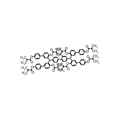 C=C(C)C(=O)Oc1ccc(-c2ccc(OC(=O)C(=C)C)c(C(c3ccc(-c4ccc(C(c5cc(-c6ccc(OC(=O)C(=C)C)cc6)ccc5OC(=O)C(=C)C)c5cc(-c6ccc(OC(=O)C(=C)C)cc6)ccc5OC(=O)C(=C)C)cc4)cc3)c3cc(-c4ccc(OC(=O)C(=C)C)cc4)ccc3OC(=O)C(=C)C)c2)cc1